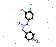 CN(Cc1ccc(C(C)(C)C)cc1)Cc1ccc(F)c(Br)c1